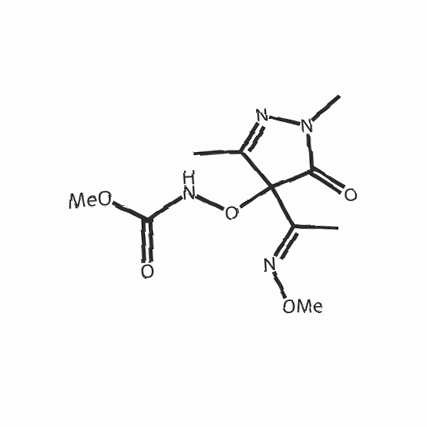 CO/N=C(\C)C1(ONC(=O)OC)C(=O)N(C)N=C1C